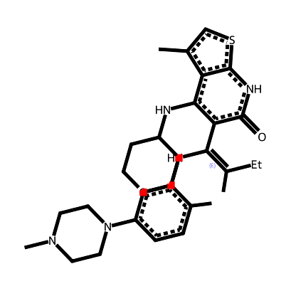 CC/C(C)=C(/Nc1cc(N2CCN(C)CC2)ccc1C)c1c(NC2CCOCC2)c2c(C)csc2[nH]c1=O